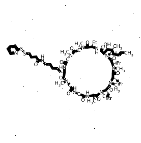 C/C=C/C[C@@H](C)[C@@H](O)[C@H]1C(=O)N[C@@H](CC)C(=O)N(C)CC(=O)N(C)CC(=O)N[C@@H](CCCCCNC(=O)CCCSSc2ccccn2)C(=O)N(C)CC(=O)NCC(=O)N[C@H](C)C(=O)N(C)[C@@H](CC(C)C)C(=O)N(C)[C@@H](CC(C)C)C(=O)N(C)[C@@H](C(C)C)C(=O)N1C